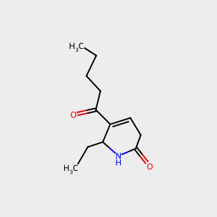 CCCCC(=O)C1=CCC(=O)NC1CC